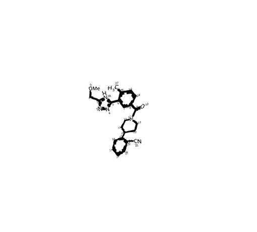 COCc1nnc(-c2cc(C(=O)N3CCC(c4ccccc4C#N)CC3)ccc2C)[nH]1